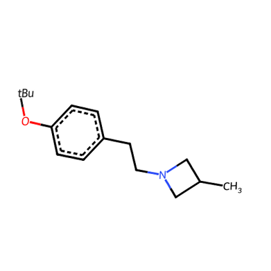 CC1CN(CCc2ccc(OC(C)(C)C)cc2)C1